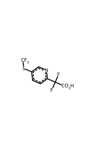 O=C(O)C(F)(F)c1ccc(SC(F)(F)F)cn1